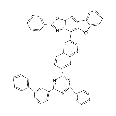 c1ccc(-c2cccc(-c3nc(-c4ccccc4)nc(-c4ccc5cc(-c6c7nc(-c8ccccc8)oc7cc7c6oc6ccccc67)ccc5c4)n3)c2)cc1